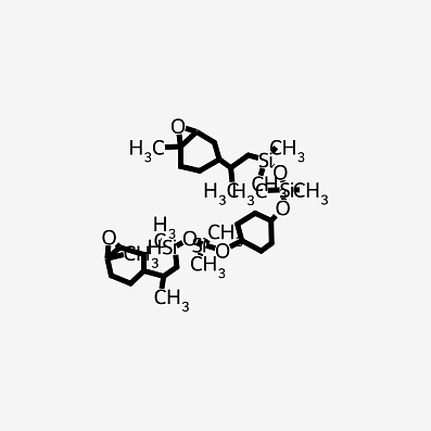 CC(C[SiH](C)O[Si](C)(C)OC1CCC(O[Si](C)(C)O[Si](C)(C)CC(C)C2CCC3(C)OC3C2)CC1)C1CCC2(C)OC2C1